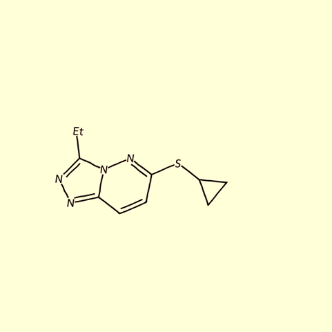 CCc1nnc2ccc(SC3CC3)nn12